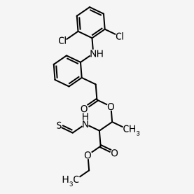 CCOC(=O)C(NC=S)C(C)OC(=O)Cc1ccccc1Nc1c(Cl)cccc1Cl